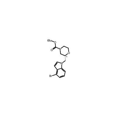 CC(C)(C)OC(=O)N1CCO[C@H](Cn2ccc3c(Br)cccc32)C1